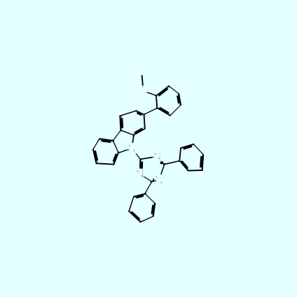 CSc1ccccc1-c1ccc2c3ccccc3n(-c3nc(-c4ccccc4)nc(-c4ccccc4)n3)c2c1